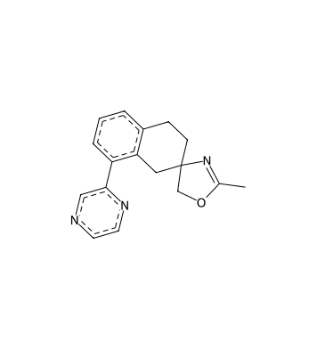 CC1=NC2(CCc3cccc(-c4cnccn4)c3C2)CO1